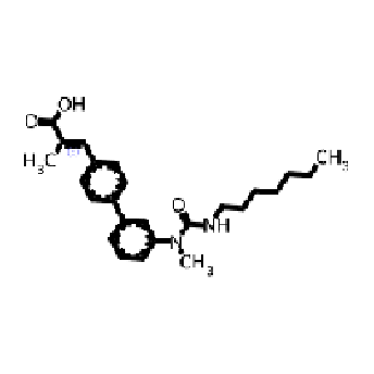 CCCCCCCNC(=O)N(C)c1cccc(-c2ccc(/C=C(\C)C(=O)O)cc2)c1